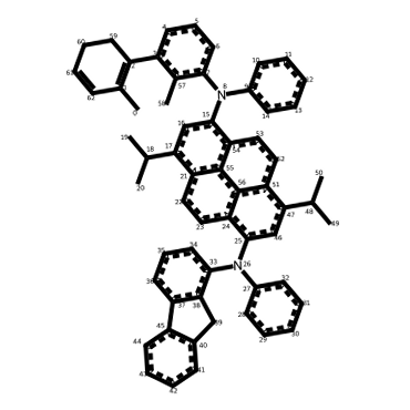 CC1=C(c2cccc(N(c3ccccc3)c3cc(C(C)C)c4ccc5c(N(c6ccccc6)c6cccc7c6Cc6ccccc6-7)cc(C(C)C)c6ccc3c4c65)c2C)CCC=C1